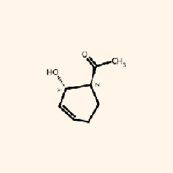 CC(=O)[C@H]1CCC=C[C@@H]1O